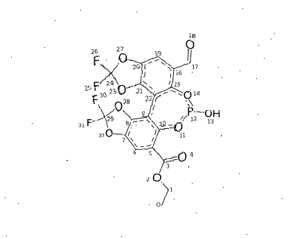 CCOC(=O)c1cc2c(c3c1op(O)oc1c(C=O)cc4c(c13)OC(F)(F)O4)OC(F)(F)O2